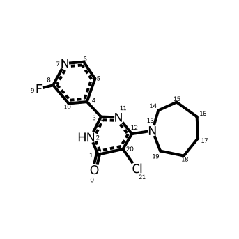 O=c1[nH]c(-c2ccnc(F)c2)nc(N2CCCCCC2)c1Cl